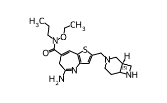 CCCN(OCC)C(=O)C1=Cc2sc(CN3CCC4NC[C@H]4C3)cc2N=C(N)C1